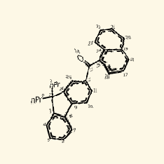 CCCC1(CCC)c2ccccc2-c2ccc(C(=O)c3cccc4ccccc34)cc21